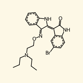 CCCN(CCC)CCO/N=C1/C(=C2/C(=O)Nc3ccc(Br)cc32)Nc2ccccc21